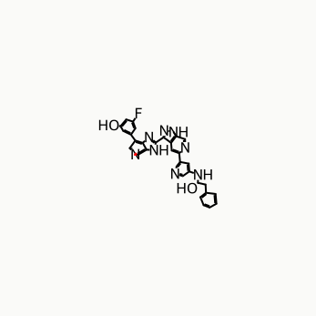 Oc1cc(F)cc(-c2cncc3[nH]c(-c4n[nH]c5cnc(-c6cncc(NC(O)Cc7ccccc7)c6)cc45)nc23)c1